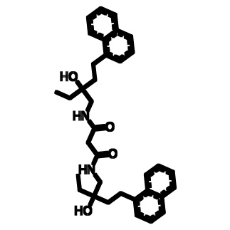 CCC(O)(CCc1cccc2ccccc12)CNC(=O)CC(=O)NCC(O)(CC)CCc1cccc2ccccc12